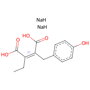 CC/C(C(=O)O)=C(\Cc1ccc(O)cc1)C(=O)O.[NaH].[NaH]